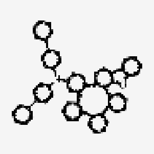 c1ccc(-c2ccc(N(c3ccc(-c4ccccc4)cc3)c3ccc4c(c3)c3ccccc3c3ccccc3c3ccccc3c3c4ccc4c5ccccc5oc43)cc2)cc1